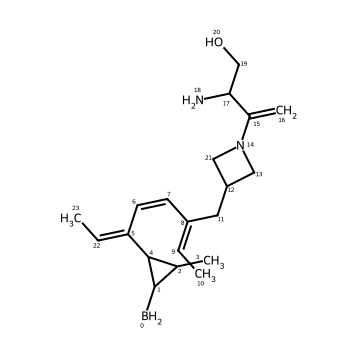 BC1C(C)C1C(/C=C\C(=C\C)CC1CN(C(=C)C(N)CO)C1)=C/C